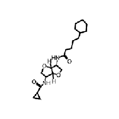 O=C(CCCCC1CCCCC1)N[C@H]1CO[C@H]2[C@@H]1OC[C@@H]2NC(=O)C1CC1